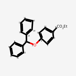 CCOC(=O)c1ccc(OC(c2ccccc2)c2ccccc2)cc1